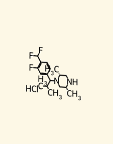 CC(C)C(c1ccc(C(F)F)c(F)c1)N1C[C@H](C)NC[C@H]1C.Cl